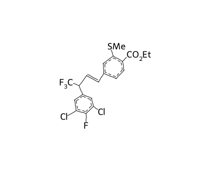 CCOC(=O)c1ccc(/C=C/C(c2cc(Cl)c(F)c(Cl)c2)C(F)(F)F)cc1SC